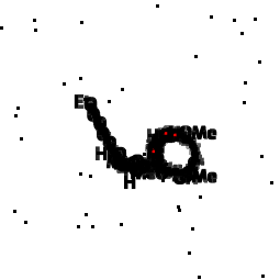 CCOCCOCCOCCOCCOCCNC(=O)CN1CCC(NC(=O)O[C@@H]2CC[C@@H](C[C@@H](N)[C@@H]3C[C@@H](OC)[C@H](C)/C=C(\C)[C@@H](O)[C@@H](OC)C(=O)[C@H](C)C[C@H](C)/C=C/C=C/C=C(\C)[C@@H](OC)C[C@@H]4CC[C@@H](C)[C@@](O)(O4)C(=O)C(=O)N4CCCC[C@H]4C(=O)O3)C[C@H]2OC)CC1